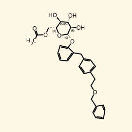 CC(=O)OC[C@H]1O[C@@H](Oc2ccccc2Cc2ccc(CCOCc3ccccc3)cc2)[C@H](O)[C@@H](O)[C@@H]1O